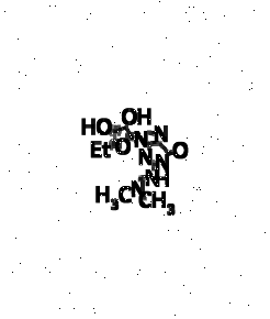 CC[C@H]1O[C@@H](n2cnc3c(=O)[nH]c(N=CN(C)C)nc32)C(O)[C@H]1O